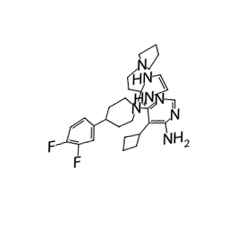 Nc1ncnc([N+]2(C3(CCN4CCCC4)NC=CN3)CCC(c3ccc(F)c(F)c3)CC2)c1C1CCC1